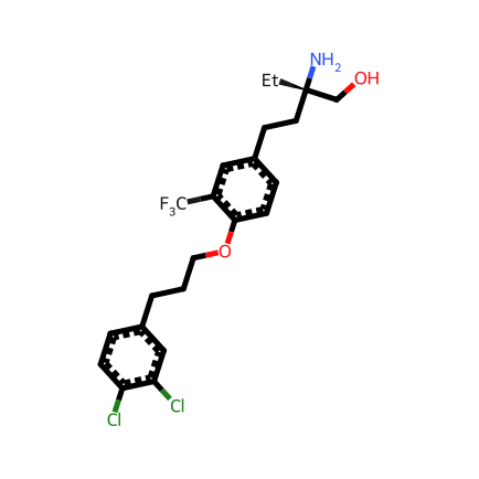 CC[C@@](N)(CO)CCc1ccc(OCCCc2ccc(Cl)c(Cl)c2)c(C(F)(F)F)c1